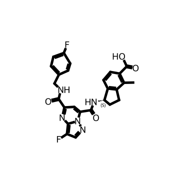 Cc1c(C(=O)O)ccc2c1CC[C@@H]2NC(=O)c1cc(C(=O)NCc2ccc(F)cc2)nc2c(F)cnn12